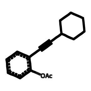 CC(=O)Oc1ccccc1C#CC1CCCCC1